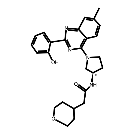 Cc1ccc2c(N3CC[C@@H](NC(=O)CC4CCOCC4)C3)nc(-c3ccccc3O)nc2c1